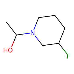 CC(O)N1CCCC(F)C1